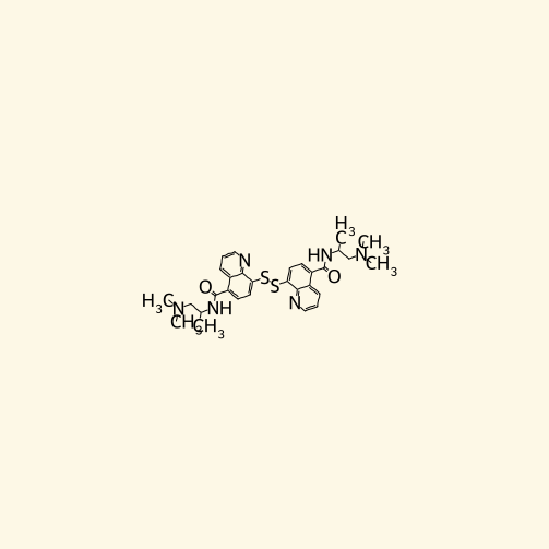 CC(CN(C)C)NC(=O)c1ccc(SSc2ccc(C(=O)NC(C)CN(C)C)c3cccnc23)c2ncccc12